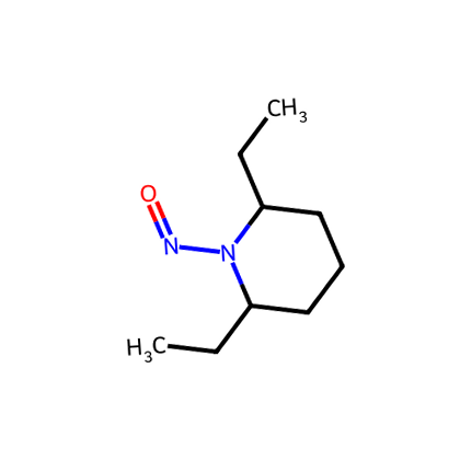 CCC1CCCC(CC)N1N=O